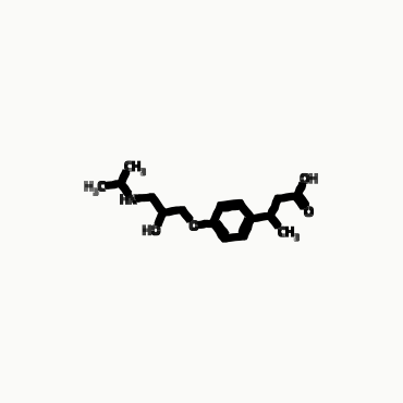 CC(C)NCC(O)COc1ccc(C(C)CC(=O)O)cc1